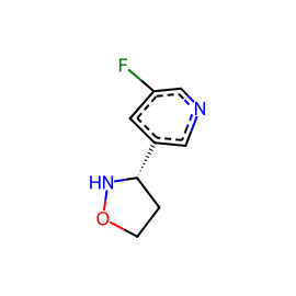 Fc1cncc([C@@H]2CCON2)c1